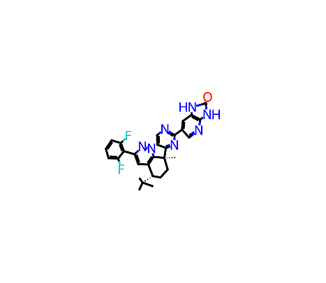 CC(C)(C)[C@H]1CC[C@](C)(c2ccnc(-c3cnc4[nH]c(=O)[nH]c4c3)n2)c2nnc(-c3c(F)cccc3F)cc21